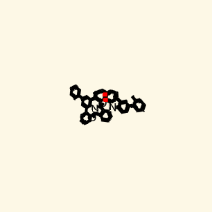 Cc1ccccc1-c1ccc2c(c1)c1ccccc1n2-c1cccc2c1C(=O)N(c1c(-c3ccccc3)cc(-c3ccccc3)cc1-c1ccccc1)C2=O